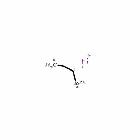 C[CH2][Bi+2].[I-].[I-]